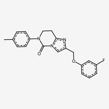 Cc1ccc(N2CCc3nc(COc4cccc(F)c4)cn3C2=O)cc1